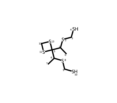 CC(SCS)C1(C(C)SCS)SCS1